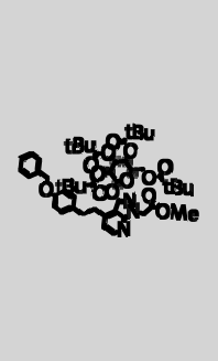 COC(=O)Cn1nc(O[C@@H]2O[C@H](COC(=O)C(C)(C)C)[C@@H](OC(=O)C(C)(C)C)[C@H](OC(=O)C(C)(C)C)[C@H]2OC(=O)C(C)(C)C)c2c(CCc3ccc(OCc4ccccc4)cc3)ccnc21